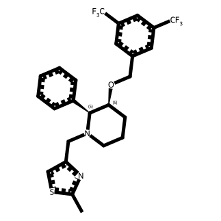 Cc1nc(CN2CCC[C@H](OCc3cc(C(F)(F)F)cc(C(F)(F)F)c3)[C@@H]2c2ccccc2)cs1